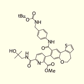 COC(=O)c1nc(C(=O)NCC(C)(C)O)ccc1-c1cc2c(cc1C(=O)Nc1ccc(CNC(=O)OC(C)(C)C)cc1)-c1sccc1CCO2